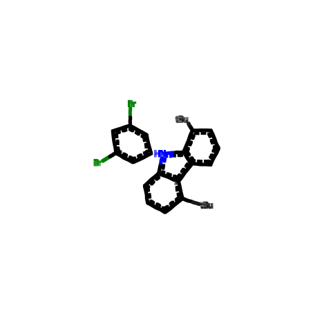 Brc1cccc(Br)c1.CC(C)(C)c1cccc2c1[nH]c1cccc(C(C)(C)C)c12